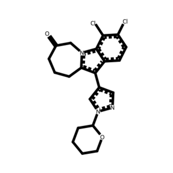 O=C1CCCc2c(-c3cnn(C4CCCCO4)c3)c3ccc(Cl)c(Cl)c3n2C1